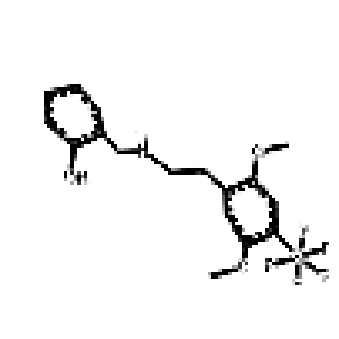 COc1cc(S(F)(F)(F)(F)F)c(OC)cc1CCNCc1ccccc1O